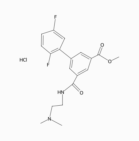 COC(=O)c1cc(C(=O)NCCN(C)C)cc(-c2cc(F)ccc2F)c1.Cl